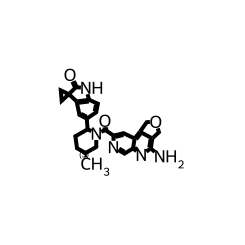 C[C@H]1CCC(c2ccc3c(c2)C2(CC2)C(=O)N3)N(C(=O)c2cc3c4c(c(N)nc3cn2)COC4)C1